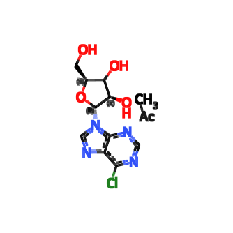 CC(C)=O.OC[C@@H]1O[C@@H](n2cnc3c(Cl)ncnc32)[C@H](O)C1O